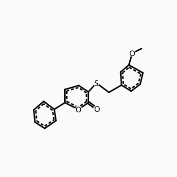 COc1cccc(CSc2ccc(-c3ccccc3)oc2=O)c1